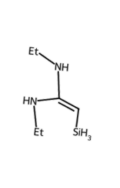 CCNC(=C[SiH3])NCC